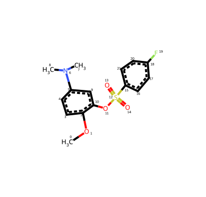 COc1ccc(N(C)C)cc1OS(=O)(=O)c1ccc(F)cc1